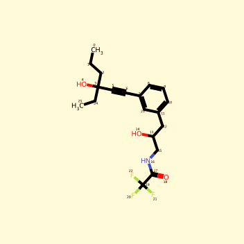 CCCC(O)(C#Cc1cccc(CC(O)CNC(=O)C(F)(F)F)c1)CC